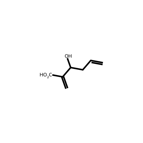 C=CCC(O)C(=C)C(=O)O